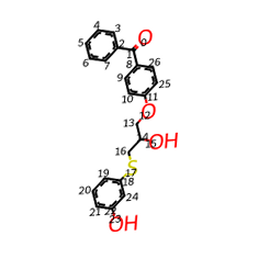 O=C(c1ccccc1)c1ccc(OCC(O)CSc2cccc(O)c2)cc1